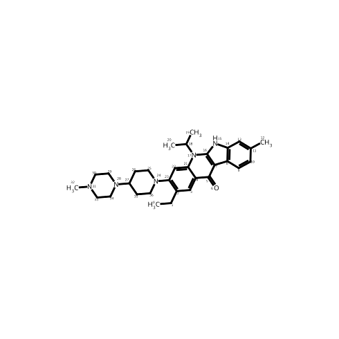 CCc1cc2c(=O)c3c4ccc(C)cc4[nH]c3n(C(C)C)c2cc1N1CCC(N2CCN(C)CC2)CC1